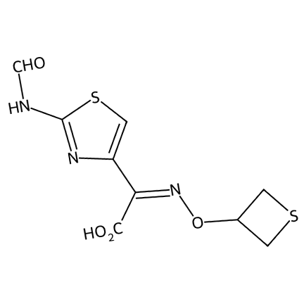 O=CNc1nc(/C(=N/OC2CSC2)C(=O)O)cs1